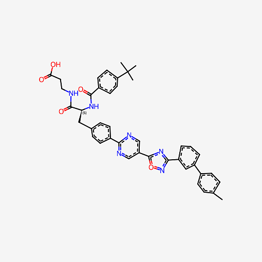 Cc1ccc(-c2cccc(-c3noc(-c4cnc(-c5ccc(C[C@H](NC(=O)c6ccc(C(C)(C)C)cc6)C(=O)NCCC(=O)O)cc5)nc4)n3)c2)cc1